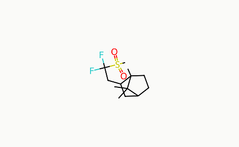 CC1(C)C2CCC1(C)C(CC(F)(F)S(C)(=O)=O)C2